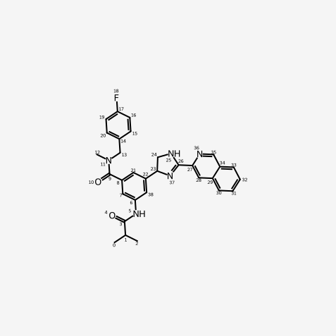 CC(C)C(=O)Nc1cc(C(=O)N(C)Cc2ccc(F)cc2)cc(C2CNC(c3cc4ccccc4cn3)=N2)c1